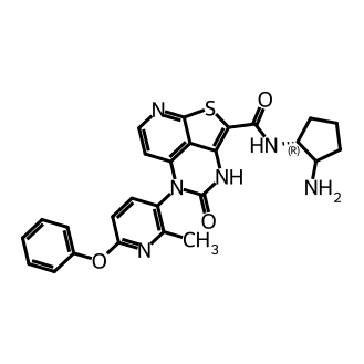 Cc1nc(Oc2ccccc2)ccc1N1C(=O)Nc2c(C(=O)N[C@@H]3CCCC3N)sc3nccc1c23